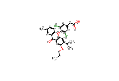 CCCOc1cc(C(=O)c2cccc(C)c2)c(Oc2c(Br)cc(CC(=O)O)cc2Br)cc1C(C)C